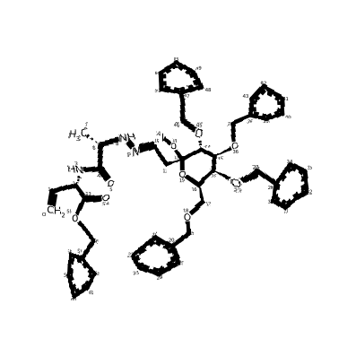 C=C[C@H](NC(=O)[C@H](C)N/N=C/C[C@]1(OI)O[C@H](COCc2ccccc2)[C@H](OCc2ccccc2)[C@H](OCc2ccccc2)[C@H]1OCc1ccccc1)C(=O)OCc1ccccc1